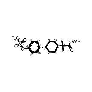 COC(=O)C(C)(C)[C@H]1CC[C@H](c2ccc(OS(=O)(=O)C(F)(F)F)cc2)CC1